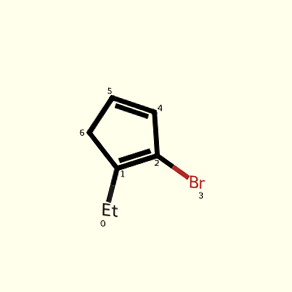 CCC1=C(Br)C=CC1